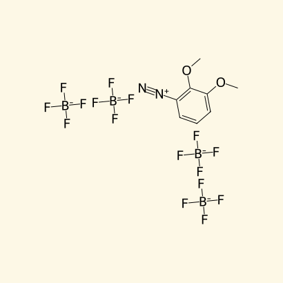 COc1cccc([N+]#N)c1OC.F[B-](F)(F)F.F[B-](F)(F)F.F[B-](F)(F)F.F[B-](F)(F)F